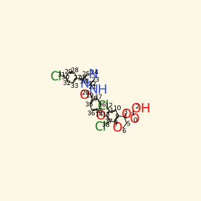 O=C(O)OC1CCOc2c1cc(Cl)c(Oc1ccc(C(=O)Nc3cncc(-c4ccc(Cl)cc4)n3)cc1)c2Cl